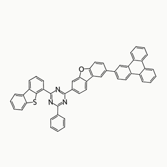 c1ccc(-c2nc(-c3ccc4c(c3)oc3ccc(-c5ccc6c7ccccc7c7ccccc7c6c5)cc34)nc(-c3cccc4c3sc3ccccc34)n2)cc1